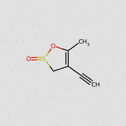 C#CC1=C(C)OS(=O)C1